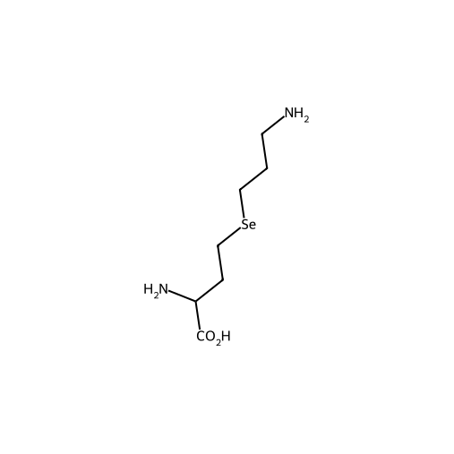 NCCC[Se]CCC(N)C(=O)O